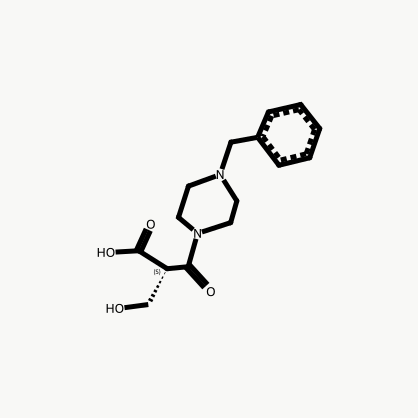 O=C(O)[C@@H](CO)C(=O)N1CCN(Cc2ccccc2)CC1